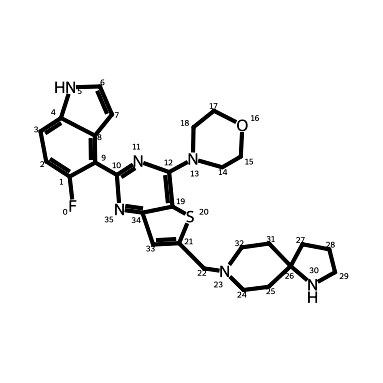 Fc1ccc2[nH]ccc2c1-c1nc(N2CCOCC2)c2sc(CN3CCC4(CCCN4)CC3)cc2n1